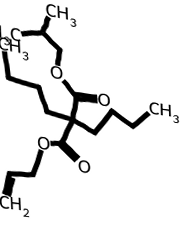 C=CCOC(=O)C(CCCC)(CCCC)C(=O)OCC(C)C